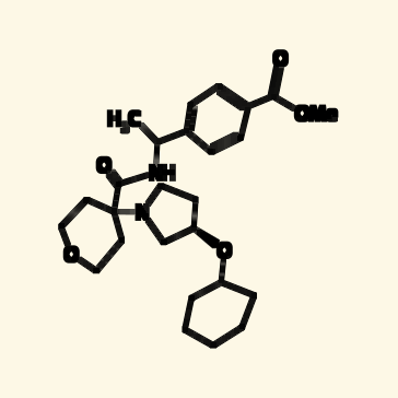 COC(=O)c1ccc(C(C)NC(=O)C2(N3CC[C@@H](OC4CCCCC4)C3)CCOCC2)cc1